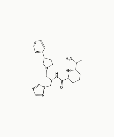 CC(N)C1CCCC(C(=O)NC(CN2CCC(c3ccccc3)C2)Cn2cncn2)N1